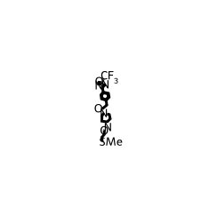 CSCCON=C1CCN(C(=O)Cc2ccc(-c3noc(C(F)(F)F)n3)cc2)CC1